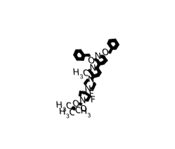 Cc1nc(-c2ccc(OCc3ccccc3)nc2OCc2ccccc2)ccc1N1CCN([C@H]2CCN(C(=O)OC(C)(C)C)CC2(F)F)CC1